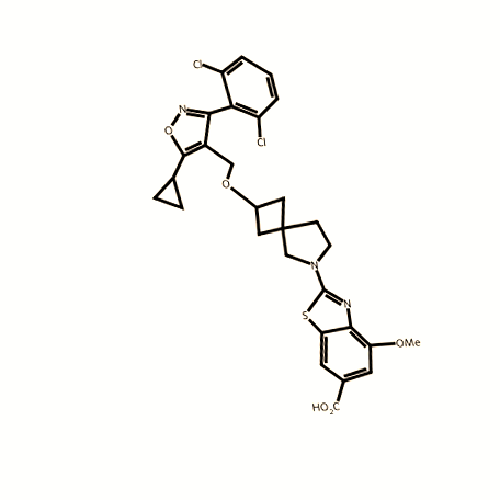 COc1cc(C(=O)O)cc2sc(N3CCC4(CC(OCc5c(-c6c(Cl)cccc6Cl)noc5C5CC5)C4)C3)nc12